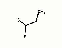 CCC(F)[S]